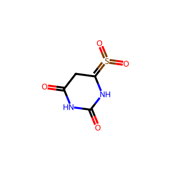 O=C1CC(=S(=O)=O)NC(=O)N1